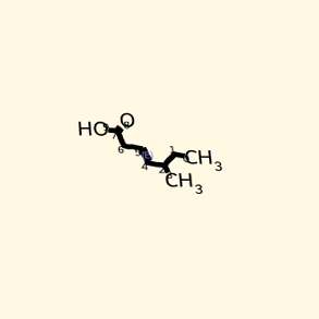 CCC(C)/C=C/CC(=O)O